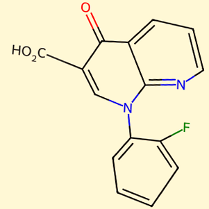 O=C(O)c1cn(-c2ccccc2F)c2ncccc2c1=O